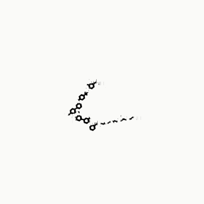 COc1cc(-c2ccc(Nc3ccccc3C(=O)NCCOCCOCC(=O)NCC(=O)CNC(=O)CN)c(OC)c2)ccc1Nc1cc(-c2cccc(Oc3ccc(C(C)(C)CNc4ccc(C(N)=O)c(N)c4C)cc3)c2)ccc1C(=O)O